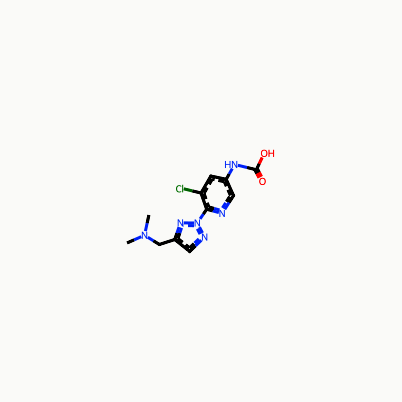 CN(C)Cc1cnn(-c2ncc(NC(=O)O)cc2Cl)n1